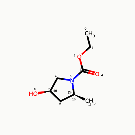 CCOC(=O)N1C[C@H](O)C[C@@H]1C